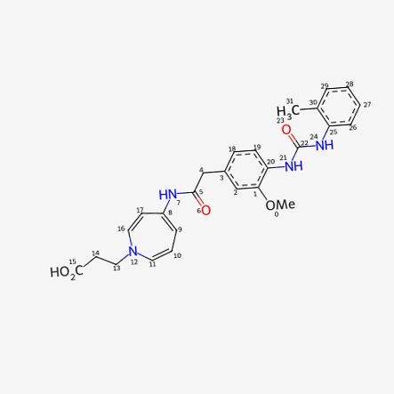 COc1cc(CC(=O)NC2=CC=CN(CCC(=O)O)C=C2)ccc1NC(=O)Nc1ccccc1C